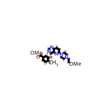 COCCN1CCN(c2ccc3ncnc(Sc4cc(C(=O)OC)ccc4C)c3n2)CC1